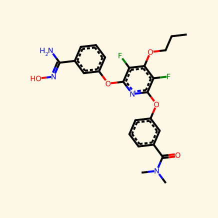 CCCOc1c(F)c(Oc2cccc(C(=O)N(C)C)c2)nc(Oc2cccc(C(N)=NO)c2)c1F